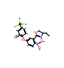 CCC1COC(c2cc(Oc3ccc(C(F)(F)F)cc3Cl)ccc2[N+](=O)[O-])=N1